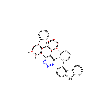 Cc1cc2c(c(-c3nnnc(-c4c(-c5ccccc5)cccc4-c4cccc5[se]c6ccccc6c45)c3-c3ccccc3-c3ccccc3)c1C)Cc1ccccc1-2